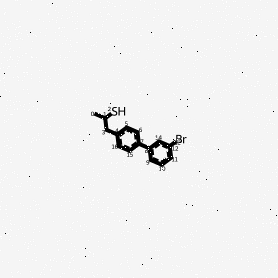 CC(S)Cc1ccc(-c2cccc(Br)c2)cc1